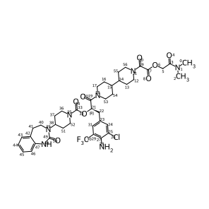 CN(C)C(=O)COC(=O)C(=O)N1CCC(C2CCN(C(=O)[C@@H](Cc3cc(Cl)c(N)c(C(F)(F)F)c3)OC(=O)N3CCC(N4CCc5ccccc5NC4=O)CC3)CC2)CC1